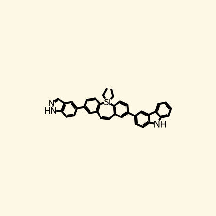 CC[Si]1(CC)c2ccc(-c3ccc4[nH]ncc4c3)cc2C=Cc2cc(-c3ccc4[nH]c5ccccc5c4c3)ccc21